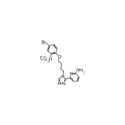 Nc1cccc(-c2nncn2CCCCOc2ccc(Br)cc2C(=O)O)n1